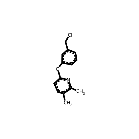 Cc1ccc(Oc2cccc(CCl)c2)nc1C